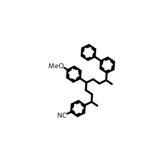 COc1ccc(C(CCC(C)c2ccc(C#N)cc2)CCC(C)c2cccc(-c3ccccc3)c2)cc1